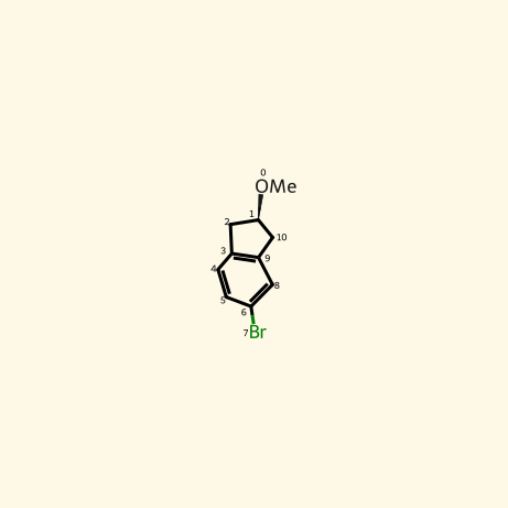 CO[C@@H]1Cc2ccc(Br)cc2C1